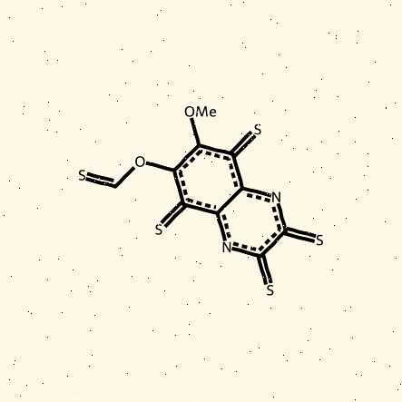 COc1c(OC=S)c(=S)c2nc(=S)c(=S)nc-2c1=S